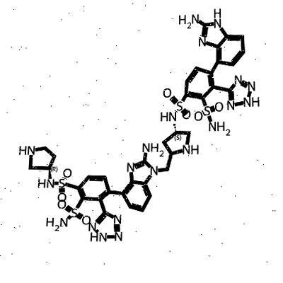 Nc1nc2c(-c3ccc(S(=O)(=O)N[C@@H]4CNC(Cn5c(N)nc6c(-c7ccc(S(=O)(=O)N[C@@H]8CCNC8)c(S(N)(=O)=O)c7-c7nn[nH]n7)cccc65)C4)c(S(N)(=O)=O)c3-c3nn[nH]n3)cccc2[nH]1